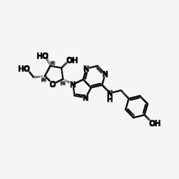 OC[C@H]1O[C@@H](n2cnc3c(NCc4ccc(O)cc4)ncnc32)C(O)[C@H]1O